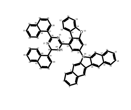 c1ccc2cc3c(cc2c1)c1cc2ccccc2cc1n3-c1cc(C2=NC(c3cccc4ccccc34)=NC(c3cccc4ccccc34)N2)c2c(c1)oc1ccccc12